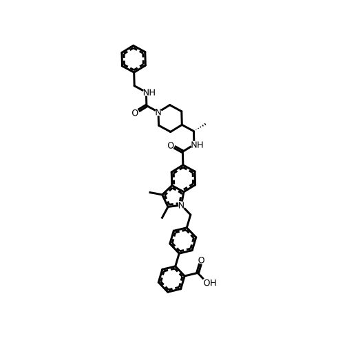 Cc1c(C)n(Cc2ccc(-c3ccccc3C(=O)O)cc2)c2ccc(C(=O)N[C@@H](C)C3CCN(C(=O)NCc4ccccc4)CC3)cc12